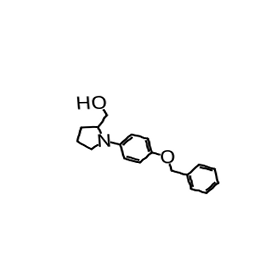 OCC1CCCN1c1ccc(OCc2ccccc2)cc1